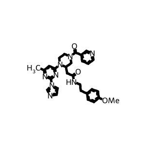 COc1ccc(CCNC(=O)CC2CN(C(=O)c3cccnc3)CCN2c2cc(C)nc(-n3ccnc3)n2)cc1